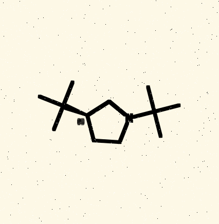 CC(C)(C)[C@@H]1CCN(C(C)(C)C)C1